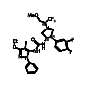 CCOc1nn(-c2ccccc2)c(NC(=O)N[C@@H]2CN([C@@H](COC)C(F)(F)F)C[C@H]2c2ccc(F)c(F)c2)c1C